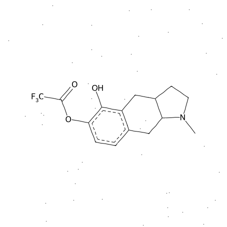 CN1CCC2Cc3c(ccc(OC(=O)C(F)(F)F)c3O)CC21